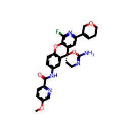 COc1ccc(C(=O)Nc2ccc3c(c2)[C@@]2(CCN=C(N)O2)c2cc(C4=CCCOC4)nc(F)c2O3)nc1